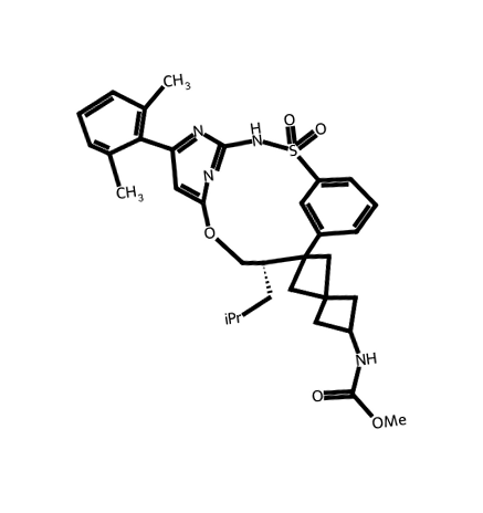 COC(=O)NC1CC2(C1)CC1(C2)c2cccc(c2)S(=O)(=O)Nc2nc(cc(-c3c(C)cccc3C)n2)OC[C@H]1CC(C)C